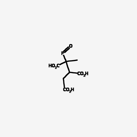 CC(P=O)(C(=O)O)C(CC(=O)O)C(=O)O